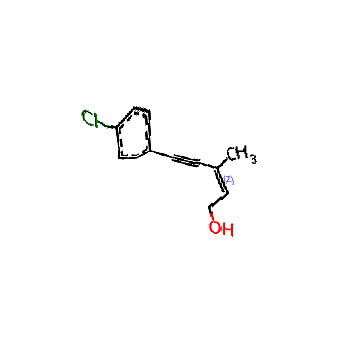 C/C(C#Cc1ccc(Cl)cc1)=C/CO